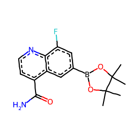 CC1(C)OB(c2cc(F)c3nccc(C(N)=O)c3c2)OC1(C)C